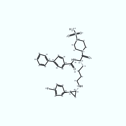 CS(=O)(=O)N1CCN(C(=O)[C@H](CCCCN[C@@H]2C[C@H]2c2ccc(F)cc2)NC(=O)c2ccc(-c3ccccc3)cc2)CC1